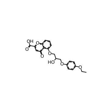 CCOc1ccc(OCC(O)COc2cccc3oc(C(=O)O)cc(=O)c23)cc1